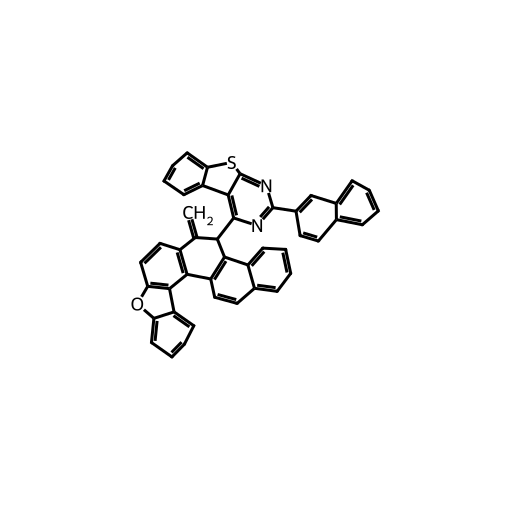 C=C1c2ccc3oc4ccccc4c3c2-c2ccc3ccccc3c2C1c1nc(-c2ccc3ccccc3c2)nc2sc3ccccc3c12